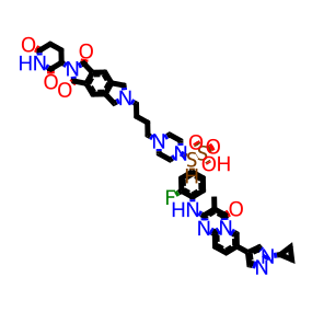 Cc1c(Nc2ccc([SH](N3CCN(CCCCN4Cc5cc6c(cc5C4)C(=O)N(C4CCC(=O)NC4=O)C6=O)CC3)S(=O)(=O)O)cc2F)nc2ccc(-c3cnn(C4CC4)c3)cn2c1=O